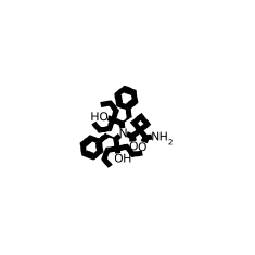 CCCC(O)(CCC)[C@@H](Cc1ccccc1)N(C(=O)C1(C(N)=O)CCC1)[C@H](Cc1ccccc1)C(O)(CCC)CCC